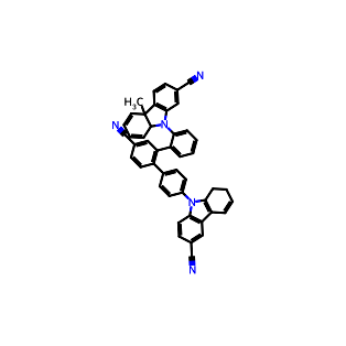 CC12C=CC=CC1N(c1ccccc1-c1cc(C#N)ccc1-c1ccc(-n3c4c(c5cc(C#N)ccc53)C=CCC4)cc1)c1cc(C#N)ccc12